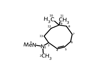 CNN(C)C1/C=C\CCCC(C)(C)CC1